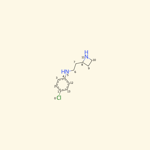 Clc1ccc(NCCC2CCN2)cc1